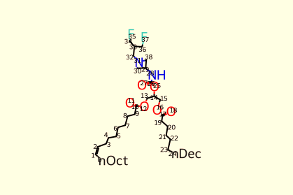 CCCCCCCC/C=C\CCCCCCCC(=O)OCC(COC(=O)CCCCCCCCCCCCCCC)OC(=O)NC1CN(CC(CF)CF)C1